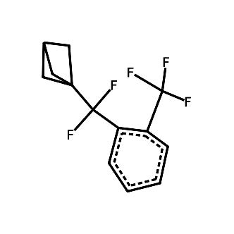 FC(F)(F)c1ccccc1C(F)(F)C12CC(C1)C2